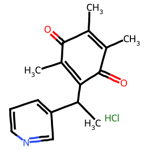 CC1=C(C)C(=O)C(C(C)c2cccnc2)=C(C)C1=O.Cl